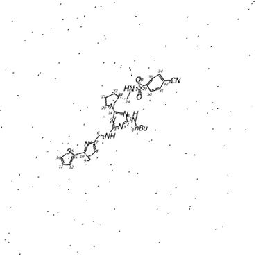 CCCCNc1nc(NCc2csc(-c3cccs3)n2)nc(N2CCC[C@@H]2CNS(=O)(=O)c2ccc(C#N)cc2)n1